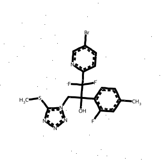 CSc1nnnn1CC(O)(c1ccc(C)cc1F)C(F)(F)c1ccc(Br)cn1